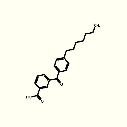 CCCCCCCc1ccc(C(=O)c2cccc(C(=O)O)c2)cc1